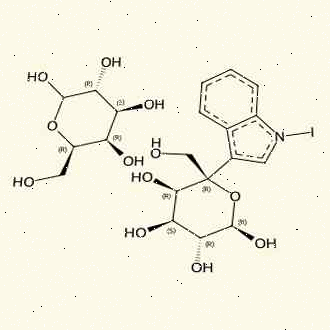 OC[C@@]1(c2cn(I)c3ccccc23)O[C@@H](O)[C@H](O)[C@@H](O)[C@H]1O.OC[C@H]1OC(O)[C@H](O)[C@@H](O)[C@H]1O